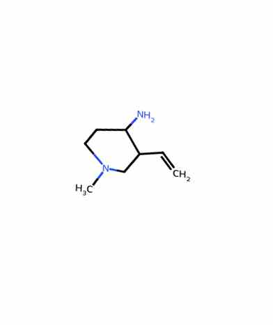 C=CC1CN(C)CCC1N